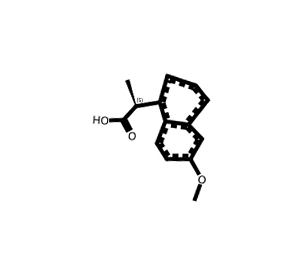 COc1ccc2c([C@H](C)C(=O)O)cccc2c1